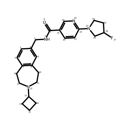 O=C(NCc1ccc2c(c1)CCN(C1CCC1)CC2)c1ccc(N2CCC(F)C2)nc1